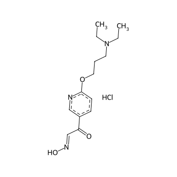 CCN(CC)CCCOc1ccc(C(=O)C=NO)cn1.Cl